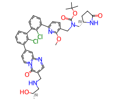 COc1nc(-c2cccc(-c3cccc(-c4ccn5c(=O)c(CNC[C@H](C)O)cnc5c4)c3Cl)c2Cl)ccc1CN(C[C@@H]1CCC(=O)N1)C(=O)OC(C)(C)C